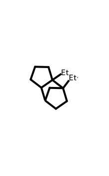 C[CH]C12CCC(C1)C1CCCC12CC